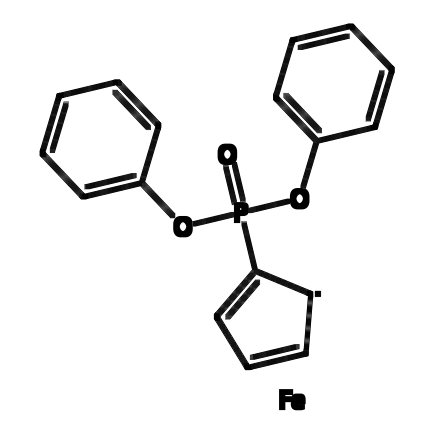 O=P(Oc1ccccc1)(Oc1ccccc1)C1=CC=C[CH]1.[Fe]